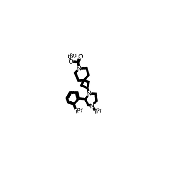 CC(C)c1ccccc1C1CN(C(C)C)CCN1C1CC2(CCN(C(=O)OC(C)(C)C)CC2)C1